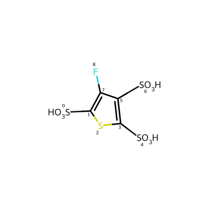 O=S(=O)(O)c1sc(S(=O)(=O)O)c(S(=O)(=O)O)c1F